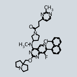 Cc1nccc(CCC(=O)N2CCC(N(C)c3nc(OCC45CCCN4CCC5)nc4c(F)c(-c5cccc6cccc(Cl)c56)ncc34)C2)n1